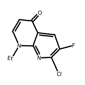 CCn1ccc(=O)c2cc(F)c(Cl)nc21